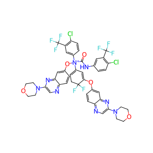 O=C(Nc1ccc(Cl)c(C(F)(F)F)c1)[N+](Oc1ccc2ncc(N3CCOCC3)nc2c1)(C1=CCC(F)(F)C(Oc2ccc3ncc(N4CCOCC4)nc3c2)=C1)c1ccc(Cl)c(C(F)(F)F)c1